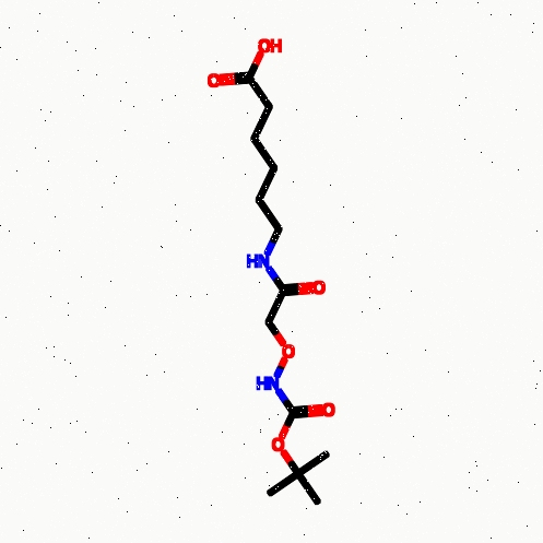 CC(C)(C)OC(=O)NOCC(=O)NCCCCCC(=O)O